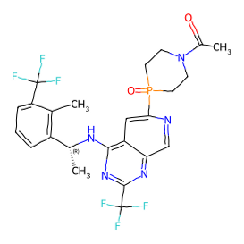 CC(=O)N1CCP(=O)(c2cc3c(N[C@H](C)c4cccc(C(F)(F)F)c4C)nc(C(F)(F)F)nc3cn2)CC1